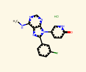 CNc1ncnc2c1nc(-c1cccc(F)c1)n2-c1ccc(=O)[nH]c1.Cl